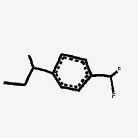 CCC(C)c1ccc(C(F)F)cc1